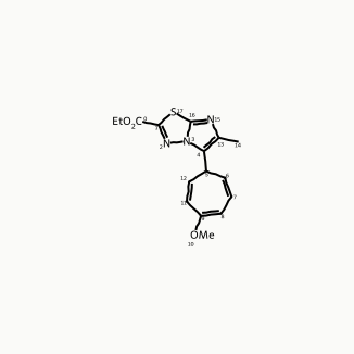 CCOC(=O)c1nn2c(C3C=CC=C(OC)C=C3)c(C)nc2s1